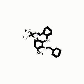 Cc1cccc(Pc2ccccc2/C=N/C(C)(C)C)c1OCC1C=CC=CC1